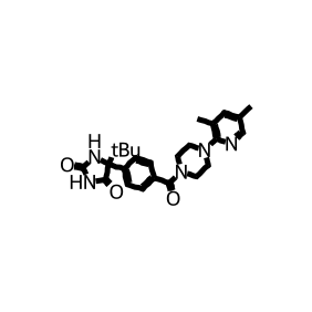 Cc1cnc(N2CCN(C(=O)c3ccc(C4(C(C)(C)C)NC(=O)NC4=O)cc3)CC2)c(C)c1